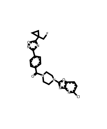 O=C(c1ccc(-c2noc(C3(CF)CC3)n2)cc1)N1CCN(c2nc3nc(Cl)ccc3o2)CC1